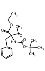 CCOC(=O)C(Cc1ccccc1)(NC(=O)OC(C)(C)C)C(C)=O